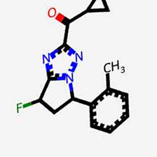 Cc1ccccc1C1CC(F)c2nc(C(=O)C3CC3)nn21